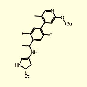 CC[C@H]1CC(NC(C)c2cc(F)c(-c3cc(OC(C)(C)C)ncc3C)cc2F)=CN1